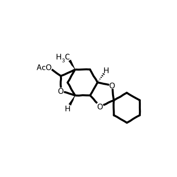 CC(=O)OC1O[C@@H]2C[C@@]1(C)C[C@H]1OC3(CCCCC3)OC21